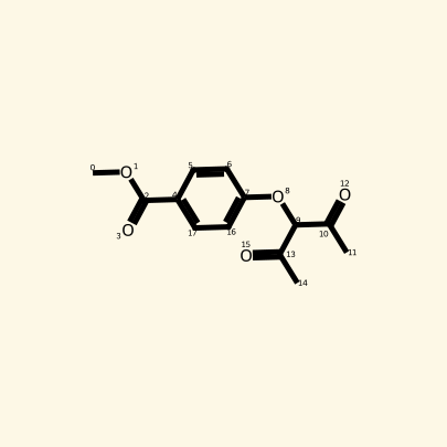 COC(=O)c1ccc(OC(C(C)=O)C(C)=O)cc1